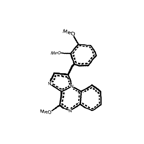 COc1cccc(-c2cnc3c(OC)nc4ccccc4n23)c1OC